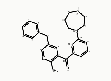 Nc1ncc(Cc2ccccc2)cc1C(=O)c1cccc(N2CCCNCC2)n1